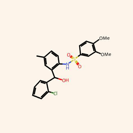 COc1ccc(S(=O)(=O)Nc2ccc(C)cc2C(O)c2ccccc2Cl)cc1OC